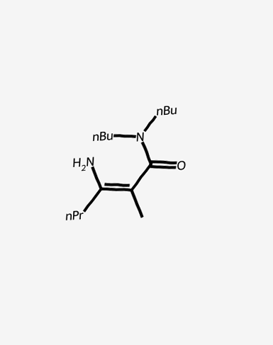 CCCCN(CCCC)C(=O)C(C)=C(N)CCC